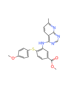 COC(=O)c1ccc(Sc2ccc(OC)cc2)c(Nc2ncnc3nc(C)ccc23)c1